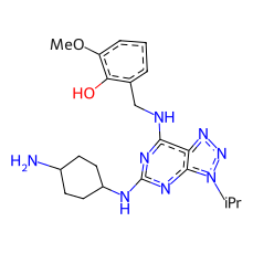 COc1cccc(CNc2nc(NC3CCC(N)CC3)nc3c2nnn3C(C)C)c1O